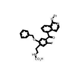 CCOc1nccc2c(C(=O)c3cc(OCc4ccccc4)c(CCNC(=O)O)cc3F)cccc12